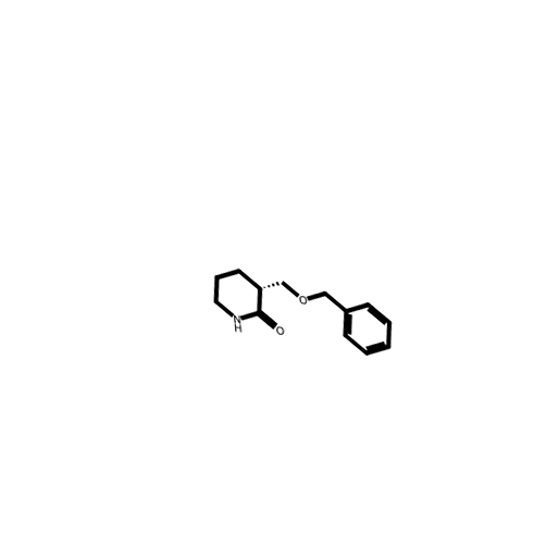 O=C1NCCC[C@@H]1COCc1ccccc1